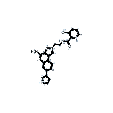 Nc1nc2cc(-c3cc[nH]n3)ccc2c2cn(CCNC(=O)c3ncccc3Cl)nc12